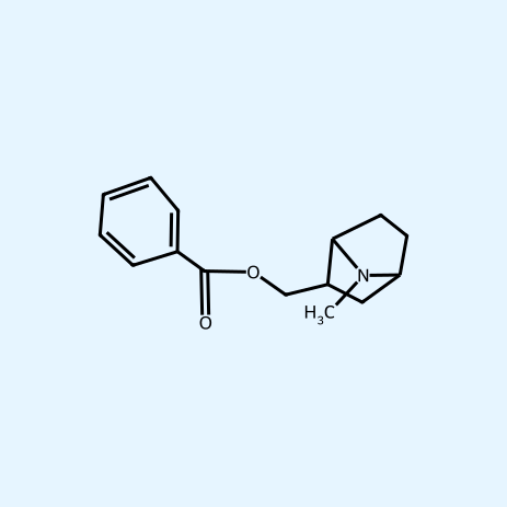 CN1C2CCC1C(COC(=O)c1ccccc1)C2